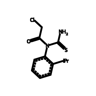 CC(C)c1ccccc1N(C(=O)CCl)C(N)=S